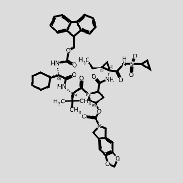 CC[C@H]1C[C@@]1(NC(=O)C1C[C@@H](OC(=O)N2Cc3cc4c(cc3C2)OCO4)CN1C(=O)[C@@H](NC(=O)[C@@H](NC(=O)OCC1c2ccccc2-c2ccccc21)C1CCCCC1)C(C)(C)C)C(=O)NS(=O)(=O)C1CC1